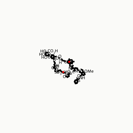 COc1ccc(C(=O)Nc2nc3ccccc3s2)c2c1CCN(c1ccc(-c3cnn(CC45CC6(C)CC(C)(C4)CC(OCCCNC(=O)OCc4ccc(O[C@@H]7O[C@H](C(=O)O)[C@@H](O)[C@H](O)[C@H]7O)cc4OCCCNC(=O)[C@H](CS(=O)(=O)O)NC(=O)CCCCCN4C(=O)C=CC4=O)(C6)C5)c3C)c(C(=O)O)n1)C2